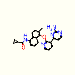 Cc1ccc2c(NC(=O)C3CC3)cccc2c1Oc1ncccc1-c1ccnc(N)n1